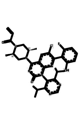 C=CC(=O)N1C[C@H](C)N(c2nc(=O)n(-c3c(C(C)C)ncnc3C(C)C)c3nc(-c4c(O)cccc4F)c(Cl)cc23)C[C@H]1C